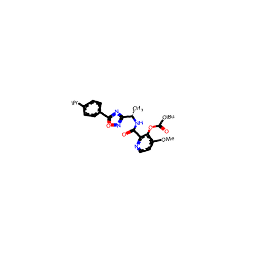 COc1ccnc(C(=O)N[C@@H](C)c2noc(-c3ccc(C(C)C)cc3)n2)c1OC(=O)OCC(C)C